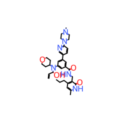 C=CC(O)N(c1cc(C(=O)NCc2c(CCC)cc(C)[nH]c2=O)cc(-c2ccc(N3CCN(C)CC3)nc2)c1)C1CCOCC1